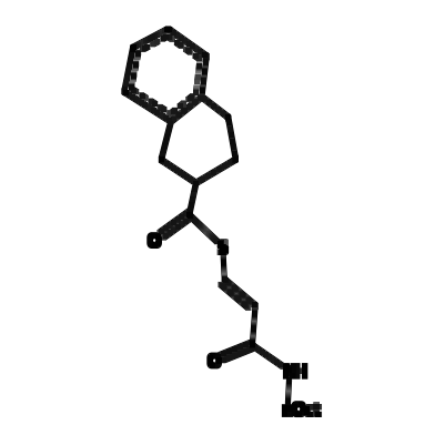 CCCCCCCCNC(=O)C=CSC(=O)C1CCc2ccccc2C1